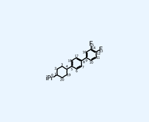 CC(C)C1CCC(c2ccc(-c3ccc(F)c(F)c3)cc2)CC1